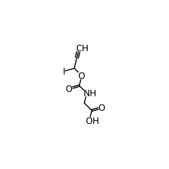 C#CC(I)OC(=O)NCC(=O)O